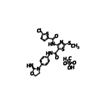 CS(=O)(=O)O.CSc1nc(NC(=O)c2ccc(Cl)s2)c(C(=O)Nc2ccc(N3CCOC3=N)cc2)s1